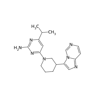 CC(C)c1cc(N2CCCC(c3cnc4ccncn34)C2)nc(N)n1